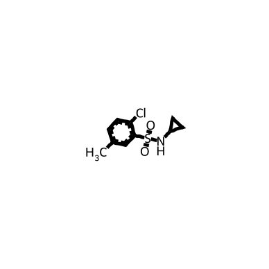 Cc1ccc(Cl)c(S(=O)(=O)NC2CC2)c1